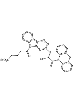 CCOC(=O)CCCC(=O)n1c2ccccc2c2nnc(SC(CC)C(=O)N3c4ccccc4Sc4ccccc43)nc21